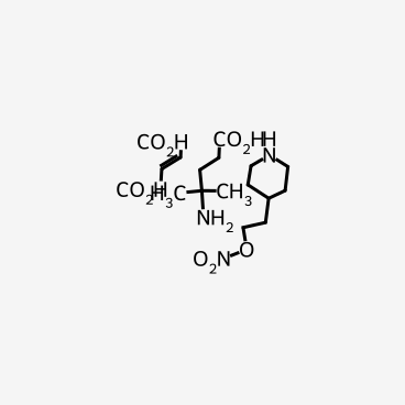 CC(C)(N)CCC(=O)O.O=C(O)C=CC(=O)O.O=[N+]([O-])OCCC1CCNCC1